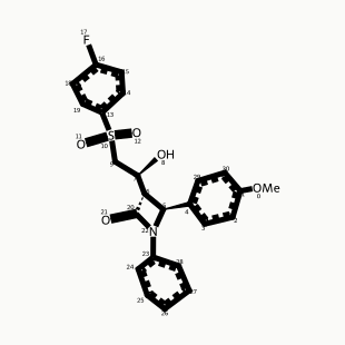 COc1ccc([C@@H]2[C@@H]([C@H](O)CS(=O)(=O)c3ccc(F)cc3)C(=O)N2c2ccccc2)cc1